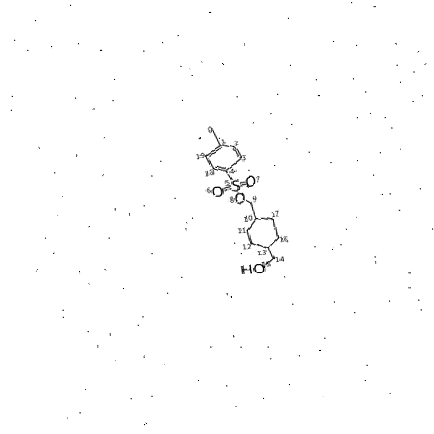 Cc1ccc(S(=O)(=O)OCC2CCC(CO)CC2)cc1